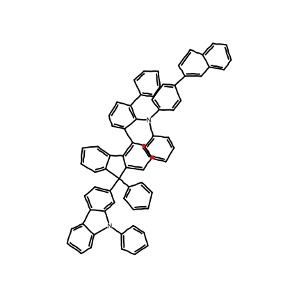 c1ccc(-c2cccc(-c3cccc4c3-c3ccccc3C4(c3ccccc3)c3ccc4c5ccccc5n(-c5ccccc5)c4c3)c2N(c2ccccc2)c2ccc(-c3ccc4ccccc4c3)cc2)cc1